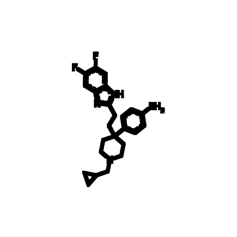 Bc1ccc(C2(CCc3nc4cc(F)c(F)cc4[nH]3)CCN(CC3CC3)CC2)cc1